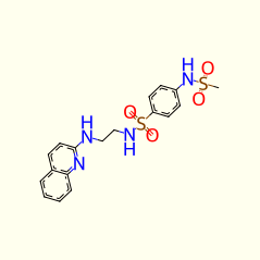 CS(=O)(=O)Nc1ccc(S(=O)(=O)NCCNc2ccc3ccccc3n2)cc1